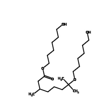 CC(CCCC(C)(C)OCCCCCCO)CC(=O)OCCCCCCO